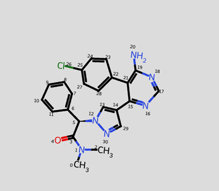 CN(C)C(=O)[C@@H](c1ccccc1)n1cc(-c2ncnc(N)c2-c2ccc(Cl)cc2)cn1